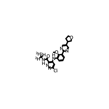 [2H]C([2H])([2H])NC(=O)c1nnc(Cl)cc1Nc1cccc(-c2ncc(C3CCOC3)cn2)c1OC